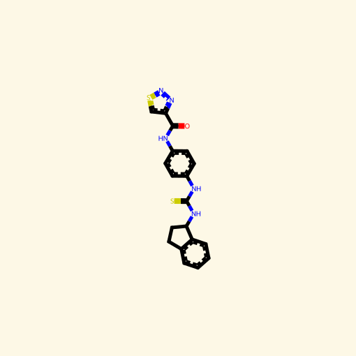 O=C(Nc1ccc(NC(=S)NC2CCc3ccccc32)cc1)c1csnn1